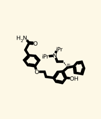 CC(C)N(CC[C@H](c1ccccc1)c1cc(CCOc2ccc(CC(N)=O)cc2)ccc1O)C(C)C